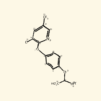 CCCC(Oc1ccc(Oc2ncc(C(F)(F)F)cc2Cl)cc1)C(=O)O